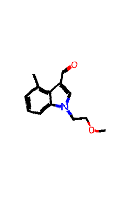 COCCn1cc(C=O)c2c(C)cccc21